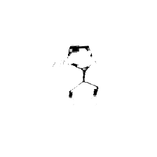 O=CC(C=O)c1ncc[nH]1